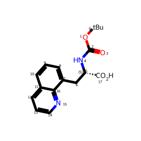 CC(C)(C)OC(=O)N[C@@H](Cc1cccc2cccnc12)C(=O)O